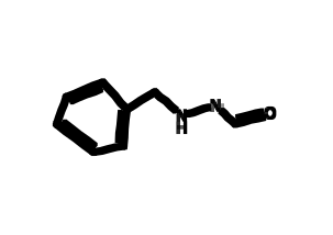 O=C[N]NCc1ccccc1